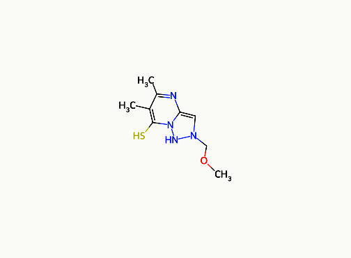 COCN1C=C2N=C(C)C(C)=C(S)N2N1